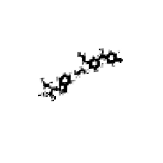 CCCc1cc(C(=O)c2ccc(F)cc2)ccc1OCCOc1ccc2c(cnn2C(OCC)C(=O)O)c1